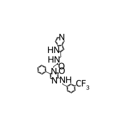 O=C(Cn1c(-c2ccccc2)cnc(NCc2cccc(C(F)(F)F)c2)c1=O)NCc1cc2cnccc2[nH]1